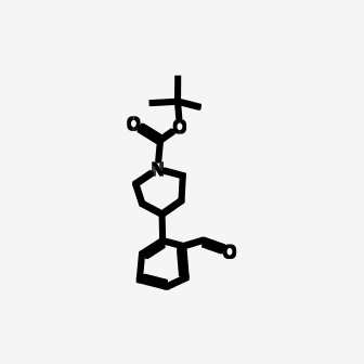 CC(C)(C)OC(=O)N1CCC(c2ccccc2C=O)CC1